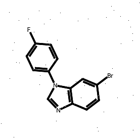 Fc1ccc(-n2cnc3ccc(Br)cc32)cc1